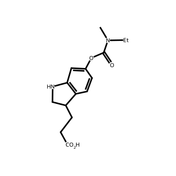 CCN(C)C(=O)Oc1ccc2c(c1)NCC2CCC(=O)O